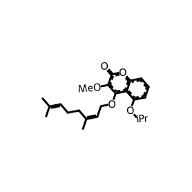 COc1c(OCC=C(C)CCC=C(C)C)c2c(OC(C)C)cccc2oc1=O